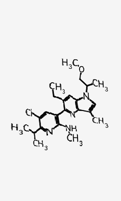 CCc1cc2c(nc1-c1cc(Cl)c(C(C)C)nc1NC)c(C)cn2C(C)COC